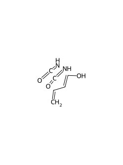 C=CC=CO.N=C=O.N=C=O